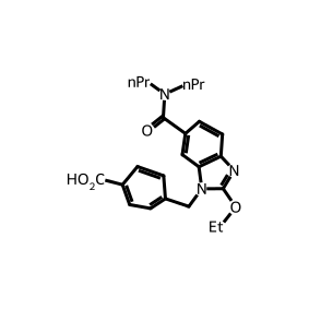 CCCN(CCC)C(=O)c1ccc2nc(OCC)n(Cc3ccc(C(=O)O)cc3)c2c1